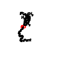 CCCCC/C=C\C/C=C\C/C=C\C/C=C\CCCC(=O)OC1CC[C@@]2(C)C(CC[C@H]3[C@@H]4CC[C@H]([C@H](C)CCCC(C)C)[C@@]4(C)CC[C@@H]32)C1